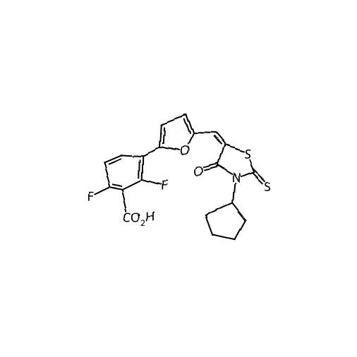 O=C(O)c1c(F)ccc(-c2ccc(C=C3SC(=S)N(C4CCCC4)C3=O)o2)c1F